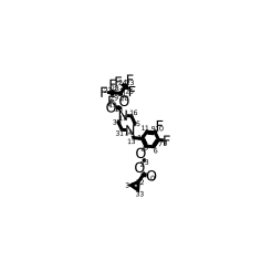 O=C(OCOc1cc(F)c(F)cc1CN1CCN(C(=O)OC(C(F)(F)F)C(F)(F)F)CC1)C1CC1